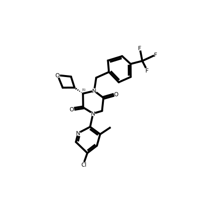 Cc1cc(Cl)cnc1N1CC(=O)N(Cc2ccc(C(F)(F)F)cc2)[C@@H](C2COC2)C1=O